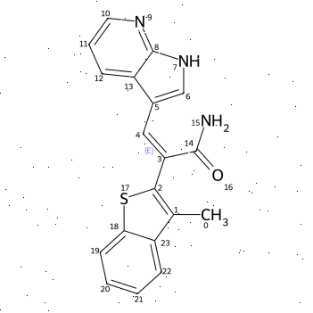 Cc1c(/C(=C/c2c[nH]c3ncccc23)C(N)=O)sc2ccccc12